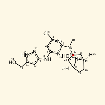 CN(c1nc(Cl)cc(Nc2cc(CO)[nH]n2)n1)[C@@H]1C[C@H]2CC[C@@H](C1)N2C(=O)O